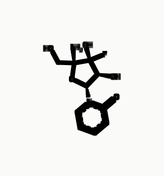 N[C@]1(CO)O[C@@H](n2ccccc2=O)[C@H](O)[C@@]1(O)F